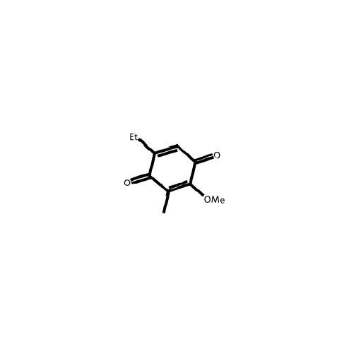 CCC1=CC(=O)C(OC)=C(C)C1=O